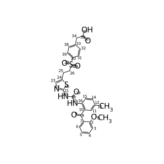 COc1ccccc1C(=O)c1cc(C)ccc1NC(=O)Nc1ncc(CCS(=O)(=O)c2ccc(CC(=O)O)cc2)s1